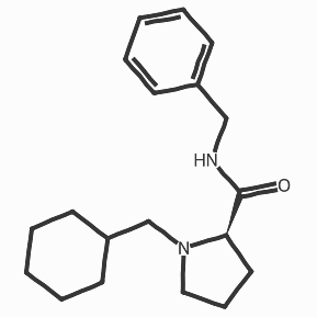 O=C(NCc1ccccc1)[C@H]1CCCN1CC1CCCCC1